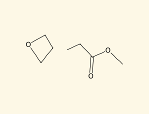 C1COC1.CCC(=O)OC